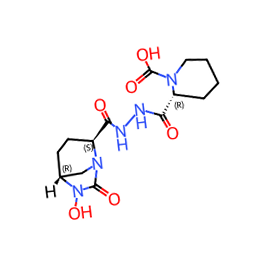 O=C(NNC(=O)[C@@H]1CC[C@@H]2CN1C(=O)N2O)[C@H]1CCCCN1C(=O)O